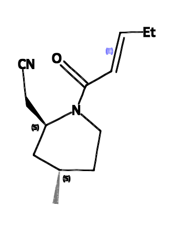 CC/C=C/C(=O)N1CC[C@H](C)C[C@H]1CC#N